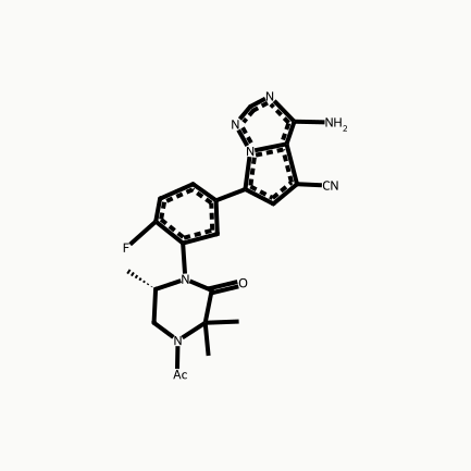 CC(=O)N1C[C@H](C)N(c2cc(-c3cc(C#N)c4c(N)ncnn34)ccc2F)C(=O)C1(C)C